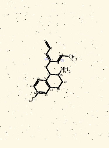 C=C/C=C(\C=C\C(F)(F)F)CC1c2ccc(F)cc2CCC1N